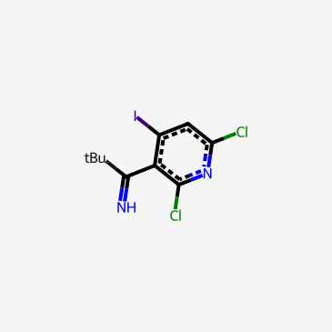 CC(C)(C)C(=N)c1c(I)cc(Cl)nc1Cl